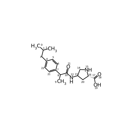 CC(C)Cc1ccc(C(C)C(=O)NC2CN[C@H](C(=O)O)C2)cc1